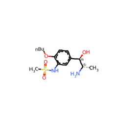 CCCCOc1ccc([C@@H](O)[C@H](C)N)cc1NS(C)(=O)=O